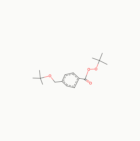 CC(C)(C)OCc1ccc(C(=O)OOC(C)(C)C)cc1